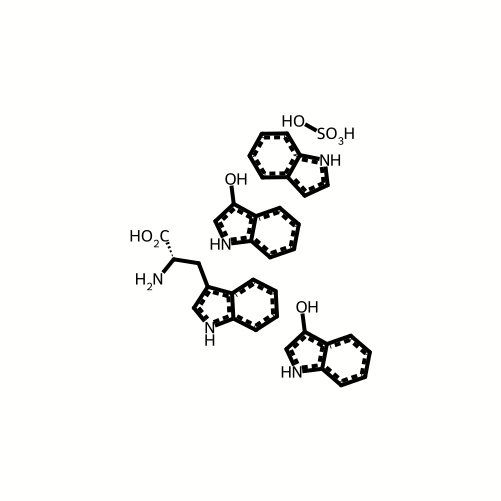 N[C@@H](Cc1c[nH]c2ccccc12)C(=O)O.O=S(=O)(O)O.Oc1c[nH]c2ccccc12.Oc1c[nH]c2ccccc12.c1ccc2[nH]ccc2c1